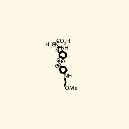 COCCCNc1ccc(S(=O)(=O)Oc2ccc3[nH]c(N(C)C(=O)O)nc3c2)cc1